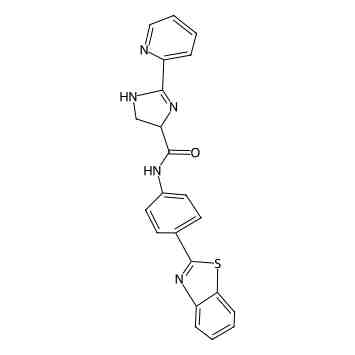 O=C(Nc1ccc(-c2nc3ccccc3s2)cc1)C1CNC(c2ccccn2)=N1